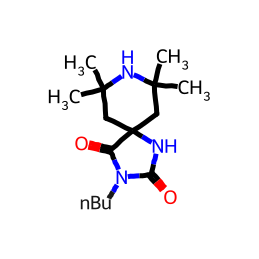 CCCCN1C(=O)NC2(CC(C)(C)NC(C)(C)C2)C1=O